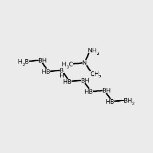 BBBBBBBBBB.CN(C)N